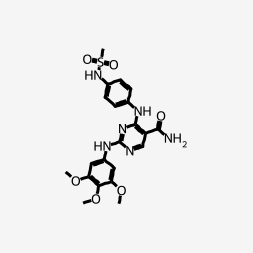 COc1cc(Nc2ncc(C(N)=O)c(Nc3ccc(NS(C)(=O)=O)cc3)n2)cc(OC)c1OC